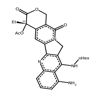 CCCCCCNc1c2c(nc3cccc(N)c13)-c1cc3c(c(=O)n1C2)COC(=O)[C@@]3(CC)OC(C)=O